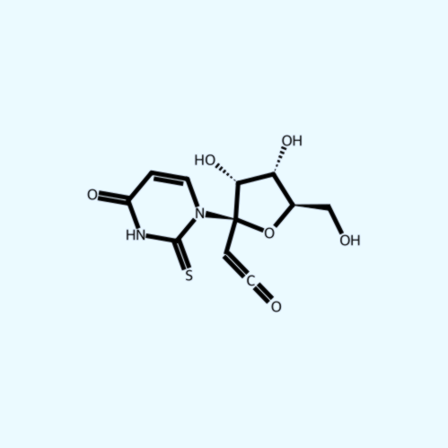 O=C=C[C@@]1(n2ccc(=O)[nH]c2=S)O[C@H](CO)[C@@H](O)[C@H]1O